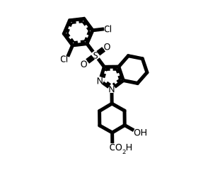 O=C(O)C1CCC(n2nc(S(=O)(=O)c3c(Cl)cccc3Cl)c3c2CCCC3)CC1O